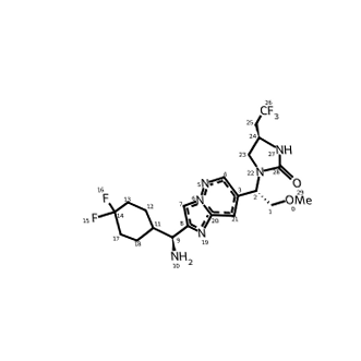 COC[C@H](c1cnn2cc([C@@H](N)C3CCC(F)(F)CC3)nc2c1)N1C[C@@H](CC(F)(F)F)NC1=O